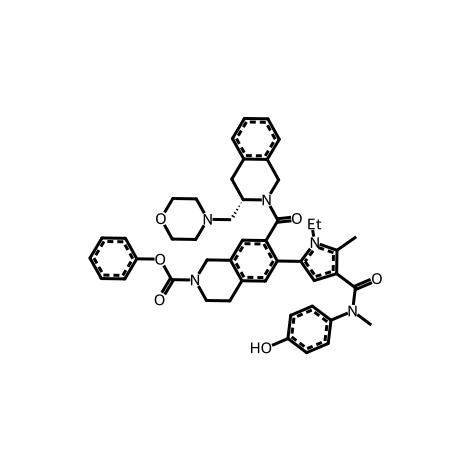 CCn1c(-c2cc3c(cc2C(=O)N2Cc4ccccc4C[C@H]2CN2CCOCC2)CN(C(=O)Oc2ccccc2)CC3)cc(C(=O)N(C)c2ccc(O)cc2)c1C